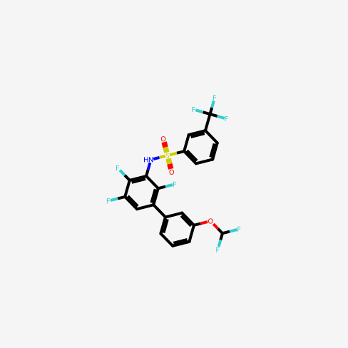 O=S(=O)(Nc1c(F)c(F)cc(-c2cccc(OC(F)F)c2)c1F)c1cccc(C(F)(F)F)c1